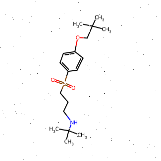 CC(C)(C)COc1ccc(S(=O)(=O)CCCNC(C)(C)C)cc1